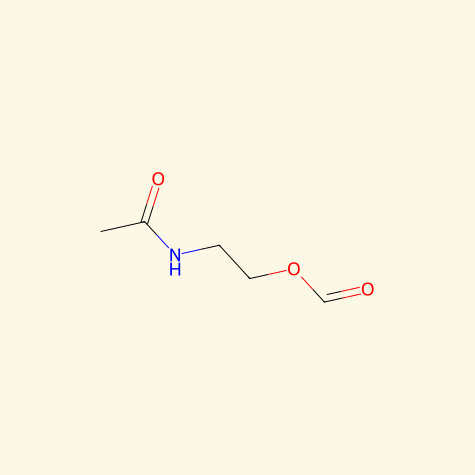 CC(=O)NCCOC=O